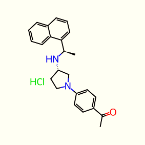 CC(=O)c1ccc(N2CC[C@H](N[C@H](C)c3cccc4ccccc34)C2)cc1.Cl